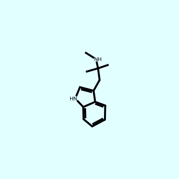 CNC(C)(C)Cc1c[nH]c2ccccc12